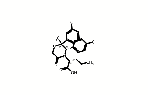 CCC[C@H](C(=O)O)N1C(=O)CO[C@](C)(c2cccc(Cl)c2)[C@@H]1c1ccc(Cl)cc1